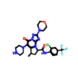 CC1CC(C(=O)Nc2ccc(C(F)(F)F)cc2Cl)n2c1c(N1CCNCC1)c(=O)n1nc(N3CCOCC3)nc21